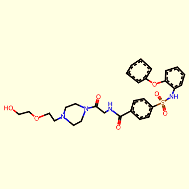 O=C(NCC(=O)N1CCN(CCOCCO)CC1)c1ccc(S(=O)(=O)Nc2ccccc2Oc2ccccc2)cc1